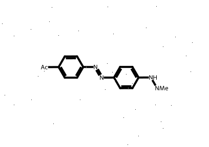 CNNc1ccc(/N=N/c2ccc(C(C)=O)cc2)cc1